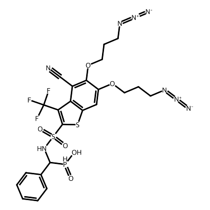 N#Cc1c(OCCCN=[N+]=[N-])c(OCCCN=[N+]=[N-])cc2sc(S(=O)(=O)NC(c3ccccc3)[PH](=O)O)c(C(F)(F)F)c12